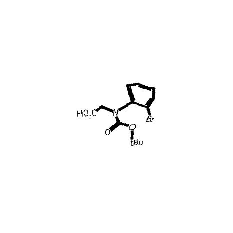 CC(C)(C)OC(=O)N(CC(=O)O)c1ccccc1Br